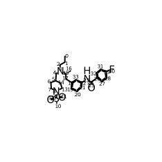 CCCN(CC1CCN(S(C)(=O)=O)CC1)[C@@H](C)Cc1cccc(NC(=O)c2ccc(F)cc2)c1